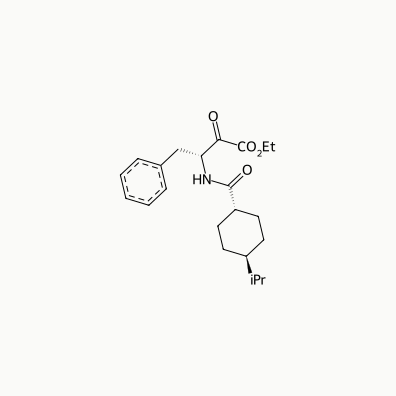 CCOC(=O)C(=O)[C@@H](Cc1ccccc1)NC(=O)[C@H]1CC[C@H](C(C)C)CC1